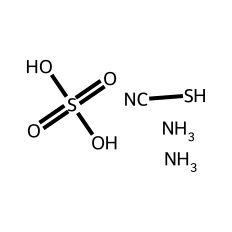 N.N.N#CS.O=S(=O)(O)O